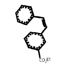 CCOC(=O)c1cccc(/C=C\c2ccccc2)c1